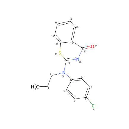 CCCN(c1ccc(Cl)cc1)c1nc(=O)c2ccccc2s1